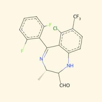 C[C@@H]1N=C(c2c(F)cccc2F)c2c(ccc(C(F)(F)F)c2Cl)NC1C=O